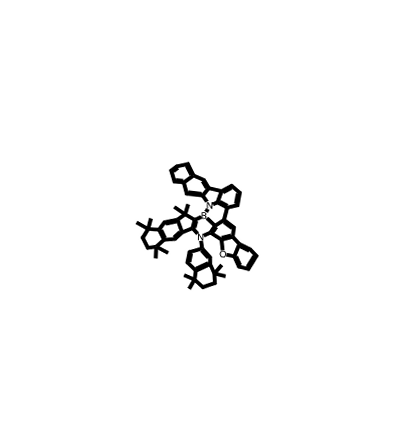 CC1(C)CCC(C)(C)c2cc(N3C4=C(B5c6c(cc7c(oc8ccccc87)c63)-c3cccc6c7cc8ccccc8cc7n5c36)C(C)(C)c3cc5c(cc34)C(C)(C)CCC5(C)C)ccc21